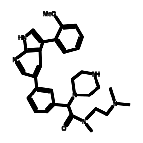 COc1ccccc1-c1c[nH]c2ncc(-c3cccc(C(C(=O)N(C)CCN(C)C)N4CCNCC4)c3)cc12